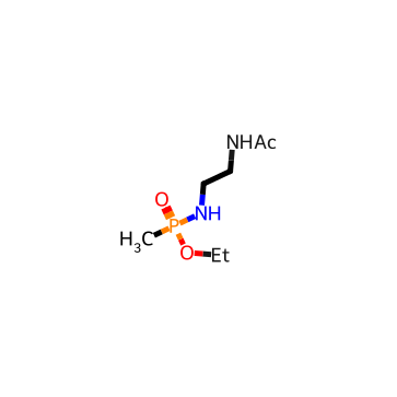 CCOP(C)(=O)NCCNC(C)=O